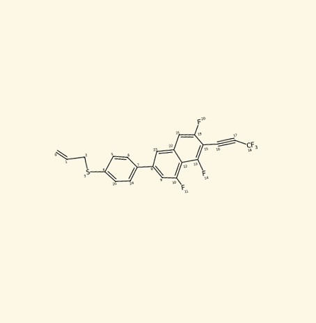 C=CCSc1ccc(-c2cc(F)c3c(F)c(C#CC(F)(F)F)c(F)cc3c2)cc1